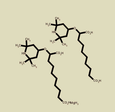 CC1(C)CC(OC(CCCCCCCC(=O)O)C(=O)O)CC(C)(C)N1.CC1(C)CC(OC(CCCCCCCC(=O)O)C(=O)O)CC(C)(C)N1.[MgH2]